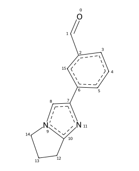 O=Cc1cccc(-c2cn3c(n2)CCC3)c1